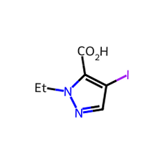 CCn1ncc(I)c1C(=O)O